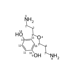 NCCCOCCCN.Oc1ccc(O)cc1